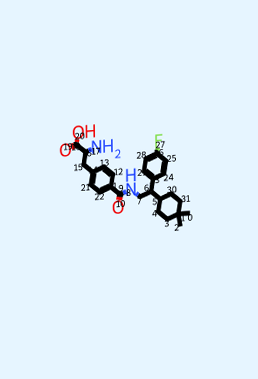 CC1(C)CCC(C(CNC(=O)c2ccc(CC(N)C(=O)O)cc2)c2ccc(F)cc2)CC1